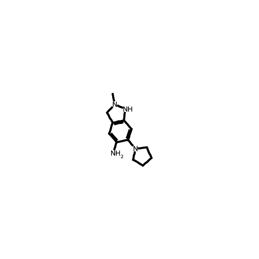 CN1Cc2cc(N)c(N3CCCC3)cc2N1